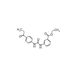 CCOC(=O)c1cccc(NC(=O)Nc2ccc(C(=O)CC)cc2)c1